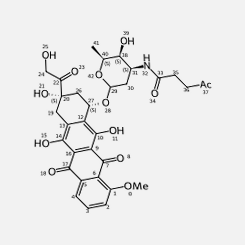 COc1cccc2c1C(=O)c1c(O)c3c(c(O)c1C2=O)C[C@@](O)(C(=O)CO)C[C@@H]3OC1C[C@H](NC(=O)CCC(C)=O)[C@H](O)[C@H](C)O1